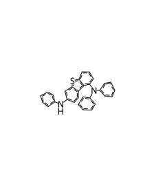 c1ccc(Nc2ccc3c(c2)sc2cccc(N(c4ccccc4)c4ccccc4)c23)cc1